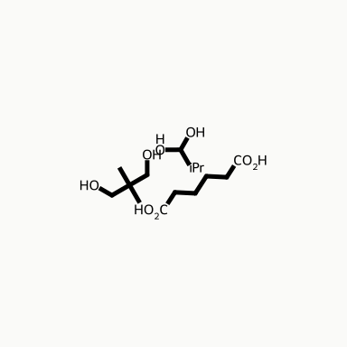 CC(C)(CO)CO.CC(C)C(O)O.O=C(O)CCCCC(=O)O